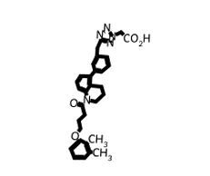 Cc1cccc(OCCCC(=O)N2CCCc3c(-c4cccc(Cc5nnn(CC(=O)O)n5)c4)cccc32)c1C